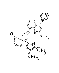 Cc1cc(-n2ccnc2)c2cccc(OCc3c(Cl)cncc3Sc3nc(C)c(C)s3)c2n1